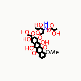 COc1cccc2c1C(=O)c1c(O)c3c(c(O)c1C2=O)C[C@@](O)(C(=O)CO)C[C@@H]3OC1CC(NOC(=O)C(C)O)C(O)C(C)O1